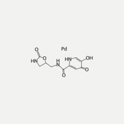 O=C1NCC(CNC(=O)c2cc(=O)c(O)c[nH]2)O1.[Pd]